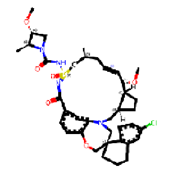 CO[C@H]1/C=C/C[C@H](C)C[S@@](=O)(NC(=O)N2C[C@@H](OC)[C@@H]2C)=NC(=O)c2ccc3c(c2)N(C[C@@H]2CC[C@H]21)C[C@@]1(CCCc2cc(Cl)ccc21)CO3